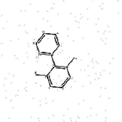 Cc1cccc(C)c1-c1ccc[c]n1